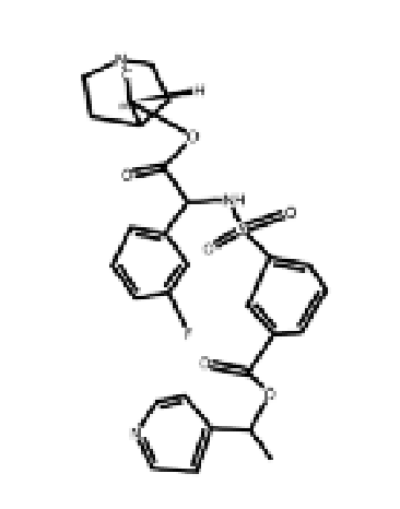 CC(OC(=O)c1cccc(S(=O)(=O)NC(C(=O)O[C@H]2CN3CCC2CC3)c2cccc(F)c2)c1)c1ccncc1